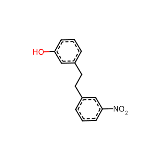 O=[N+]([O-])c1cccc(CCc2cccc(O)c2)c1